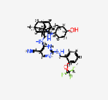 N#Cc1cnc(NCc2ccccc2OC(F)(F)F)nc1NC[C@]12CC3C[C@H](C1)[C@H](NC1CCC(O)CC1)[C@@H](C3)C2